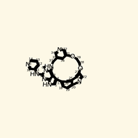 CN1C2=c3c(c[nH]c3=NC1Nc1cccnc1)-c1ccc3ncc(cc3c1)OCCOc1cncc(c1)CN2